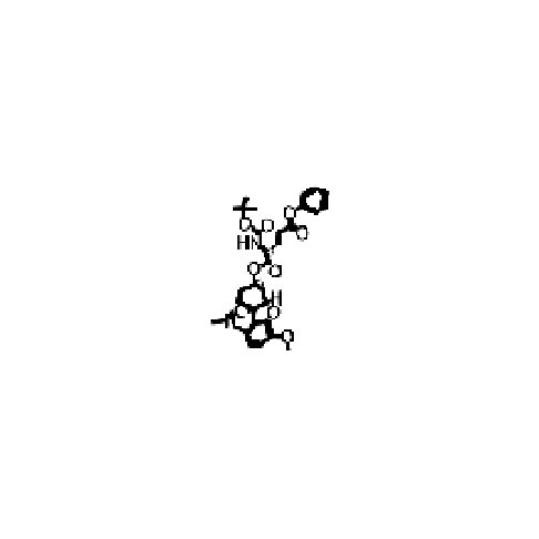 COc1ccc2c3c1O[C@@H]1C[C@H](OC(=O)[C@@H](CCC(=O)Oc4ccccc4)NC(=O)OC(C)(C)C)C=C[C@]31CCN(C)C2